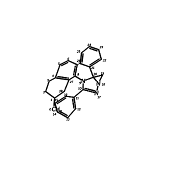 CC1CCc2cccc(N3C(c4ccccc4)=NN4CC43c3ccccc3)c2C1